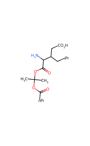 CCCC(=O)OC(C)(C)OC(=O)C(N)C(CC(=O)O)CC(C)C